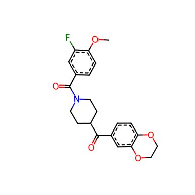 COc1ccc(C(=O)N2CCC(C(=O)c3ccc4c(c3)OCCO4)CC2)cc1F